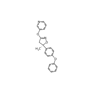 C[C@]1(c2ccc(Oc3ccccc3)cc2)CC(Oc2cccnc2)=NO1